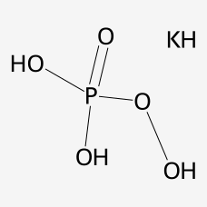 O=P(O)(O)OO.[KH]